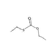 CCOC(=O)SCC